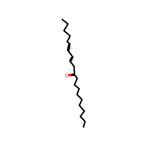 CCCCC/C=C/C=CCC(=O)CCCCCCCCCC